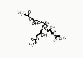 C=CC(=O)OCC(O)COCC(CC)(COCC(O)COC(=O)C=C)COCC(O)COC(=O)C=C